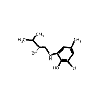 Cc1cc(Cl)c(O)c(NC[C@H](Br)C(C)C)c1